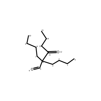 CCCCC([C]=O)(CCCC)C(=O)CCC